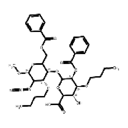 CCCCO[C@H]1[C@H](O)C(C(=O)O)OC(O[C@@H]2C(COC(=O)c3ccccc3)O[C@H](OC)C(N=[N+]=[N-])[C@H]2OCCCC)[C@H]1OC(=O)c1ccccc1